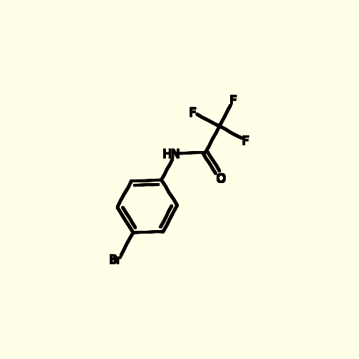 O=C(Nc1ccc(Br)cc1)C(F)(F)F